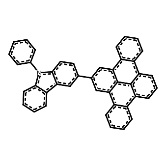 c1ccc(-n2c3ccccc3c3cc(-c4cc5c6ccccc6c6cccc7c8ccccc8c(c4)c5c67)ccc32)cc1